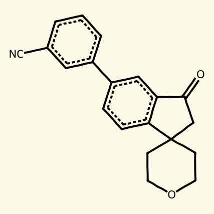 N#Cc1cccc(-c2ccc3c(c2)C(=O)CC32CCOCC2)c1